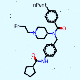 CCCCCc1ccc(C(=O)N(Cc2ccc(NC(=O)C3CCCC3)cc2)C2CCN(CCC(C)C)CC2)cc1